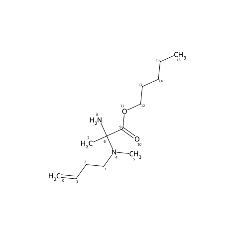 C=CCCN(C)C(C)(N)C(=O)OCCCCC